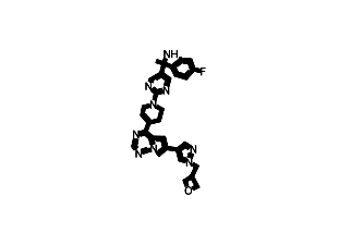 CC(N)(c1ccc(F)cc1)c1cnc(N2CC=C(c3ncnn4cc(-c5cnn(CC6COC6)c5)cc34)CC2)nc1